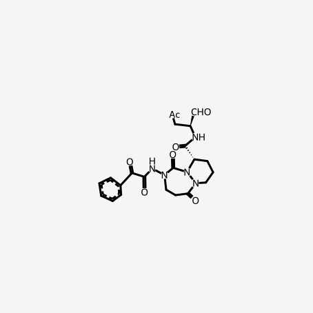 CC(=O)C[C@@H](C=O)NC(=O)[C@@H]1CCCN2C(=O)CCN(NC(=O)C(=O)c3ccccc3)C(=O)N12